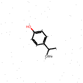 COC(C)c1ccc(O)cc1